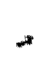 COc1cc2nc(C)nc(NCCc3ccc(-c4ccncc4C)s3)c2cc1OC